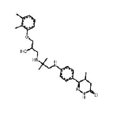 Cc1cccc(OCC(O)CNC(C)(C)CNc2ccc(C3=NNC(=O)CC3C)cc2)c1C